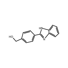 OCc1ccc(-c2nc3ccccc3[nH]2)cc1